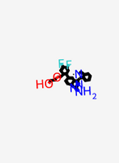 Nc1nc(C2[N]Cc3ccccc32)c2cc(-c3cc(F)c(F)cc3COCCO)ccc2n1